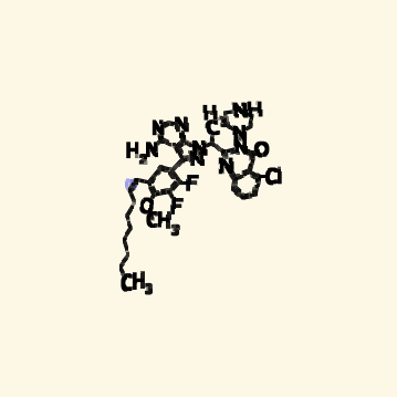 CCCCCCC/C=C\c1cc(-c2nn(C(C)c3nc4cccc(Cl)c4c(=O)n3N3CCNCC3)c3ncnc(N)c23)c(F)c(F)c1OC